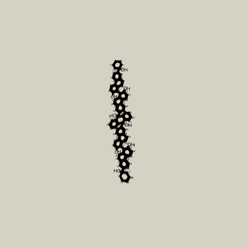 Oc1ccc2c(ccc3cc(C4(O)CCCCC4)ccc32)c1-c1c(O)ccc2c1ccc1cc(C3(O)c4ccccc4C(O)(c4ccc5c(ccc6c(-c7c(O)ccc8c7ccc7cc(C9(O)CCCCC9)ccc78)c(O)ccc65)c4)c4ccccc43)ccc12